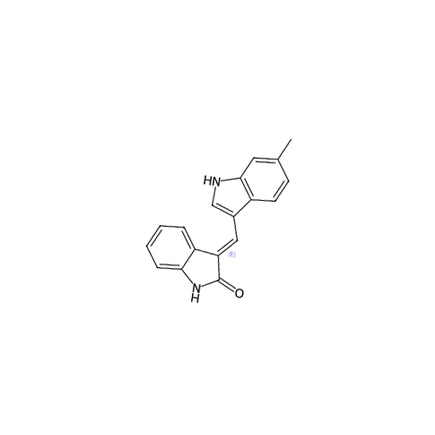 Cc1ccc2c(/C=C3/C(=O)Nc4ccccc43)c[nH]c2c1